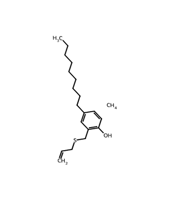 C.C=CCSCc1cc(CCCCCCCCC)ccc1O